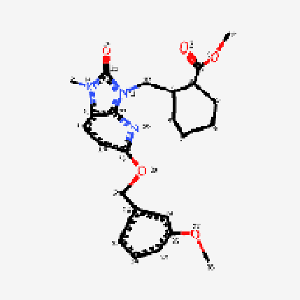 COC(=O)C1CCCCC1Cn1c(=O)n(C)c2ccc(OCc3cccc(OC)c3)nc21